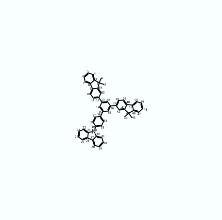 CC1(C)c2ccccc2-c2ccc(-c3cc(-c4ccc(-n5c6ccccc6c6ccccc65)cc4)cc(-c4ccc5c(c4)C(C)(C)c4ccccc4-5)c3)cc21